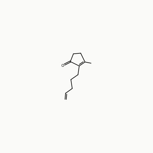 C=CCCCC1=C(C)CCC1=O